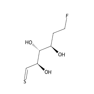 O[C@H]([C@H](O)CCF)[C@@H](O)C=S